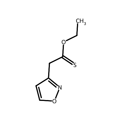 CCOC(=S)Cc1ccon1